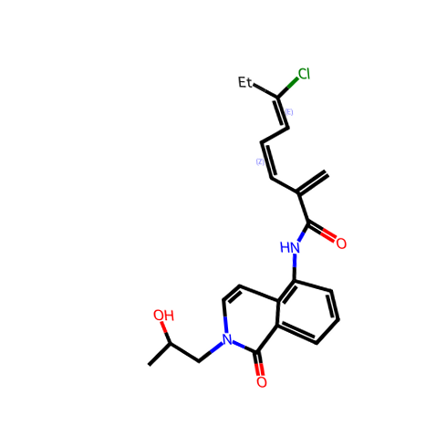 C=C(/C=C\C=C(\Cl)CC)C(=O)Nc1cccc2c(=O)n(CC(C)O)ccc12